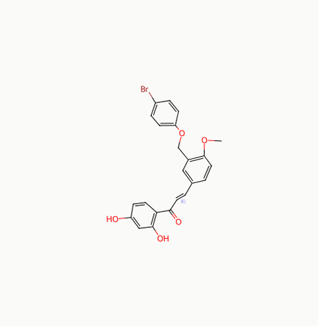 COc1ccc(/C=C/C(=O)c2ccc(O)cc2O)cc1COc1ccc(Br)cc1